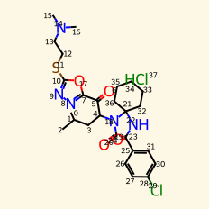 CC(C)CC(C(=O)c1nnc(SCCN(C)C)o1)N(C=O)C1(NC(=O)c2ccc(Cl)cc2)CCCCC1.Cl